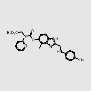 CCOC(=O)CN(C(=O)Oc1ccc2[nH]c(CNc3ccc(C#N)cc3)nc2c1C)c1ccccn1